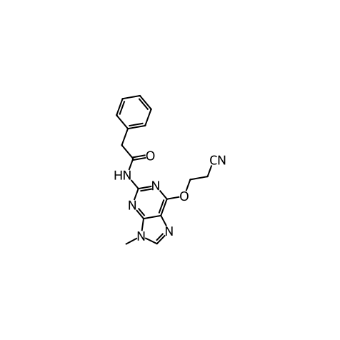 Cn1cnc2c(OCCC#N)nc(NC(=O)Cc3ccccc3)nc21